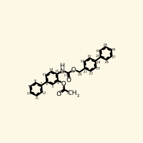 CC(=O)Oc1cc(-c2ccccc2)ccc1NC(=O)OCc1ccc(-c2ccccc2)cc1